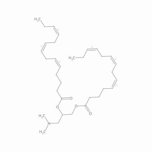 CC/C=C\C/C=C\C/C=C\CCCC(=O)OCC(CN(C)C)OC(=O)CCC/C=C\C/C=C\C/C=C\CC